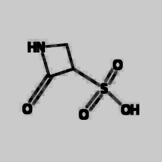 O=C1NCC1S(=O)(=O)O